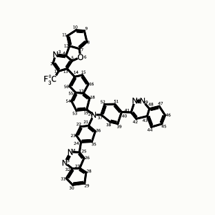 FC(F)(F)c1cnc2c(oc3ccccc32)c1-c1ccc2cc(N(c3ccc(-c4cc5ccccc5nn4)cc3)c3ccc(-c4cc5ccccc5nn4)cc3)ccc2c1